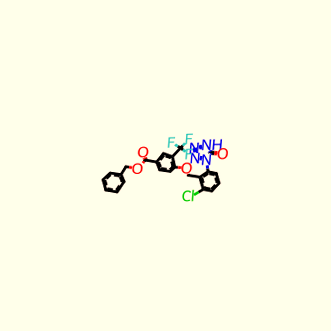 O=C(OCc1ccccc1)c1ccc(OCc2c(Cl)cccc2-n2nn[nH]c2=O)c(C(F)(F)F)c1